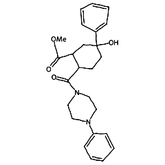 COC(=O)C1CC(O)(c2ccccc2)CCC1C(=O)N1CCN(c2ccccc2)CC1